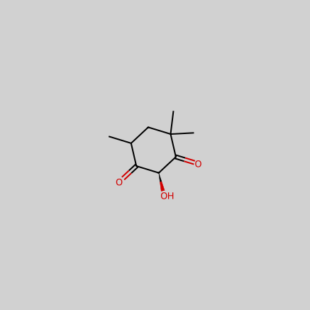 CC1CC(C)(C)C(=O)[C@@H](O)C1=O